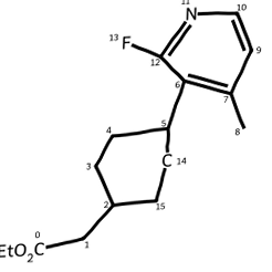 CCOC(=O)CC1CCC(c2c(C)ccnc2F)CC1